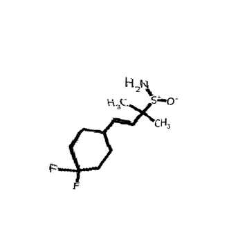 CC(C)(C=CC1CCC(F)(F)CC1)[S+](N)[O-]